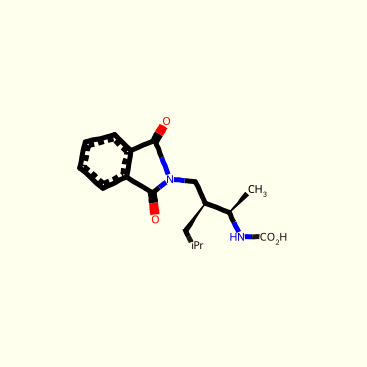 CC(C)C[C@@H](CN1C(=O)c2ccccc2C1=O)[C@@H](C)NC(=O)O